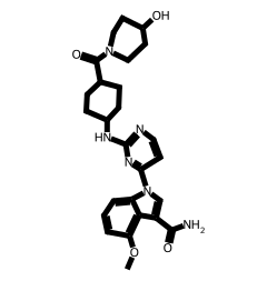 COc1cccc2c1c(C(N)=O)cn2-c1ccnc(NC2CCC(C(=O)N3CCC(O)CC3)CC2)n1